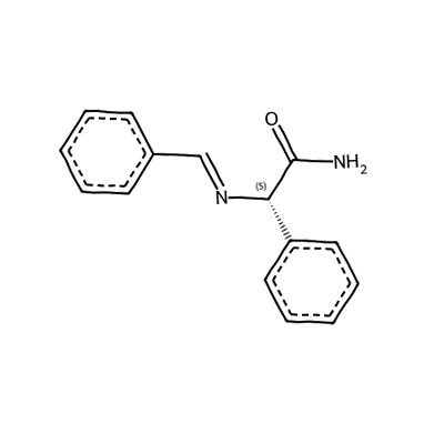 NC(=O)[C@@H](N=Cc1ccccc1)c1ccccc1